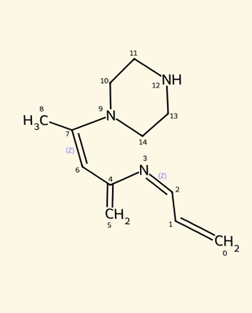 C=C/C=N\C(=C)/C=C(/C)N1CCNCC1